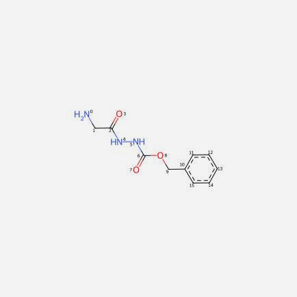 NCC(=O)NNC(=O)OCc1ccccc1